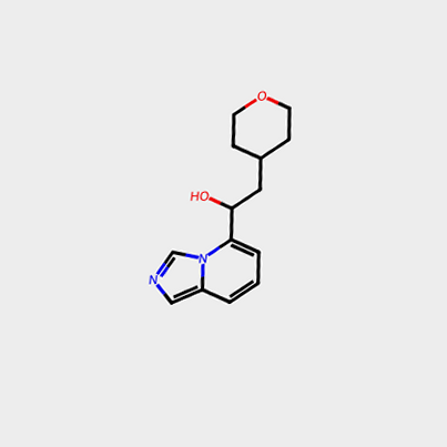 OC(CC1CCOCC1)c1cccc2cncn12